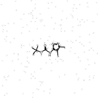 Cc1nsc(NC(=O)OC(C)(C)C)c1C